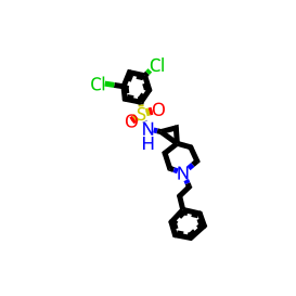 O=S(=O)(NC1CC12CCN(CCc1ccccc1)CC2)c1cc(Cl)cc(Cl)c1